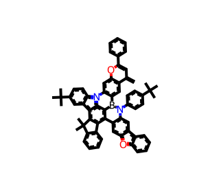 C=C1C=C(c2ccccc2)Oc2cc3c(cc21)B1c2c(c4c(c5c6cc(C(C)(C)C)ccc6n-3c25)C(C)(C)c2ccccc2-4)-c2cc3oc4ccccc4c3cc2N1c1ccc(C(C)(C)C)cc1